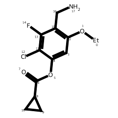 CCOc1cc(OC(=O)C2CC2)c(Cl)c(F)c1CN